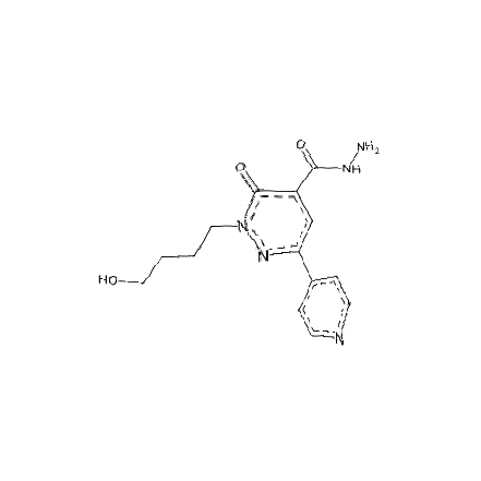 NNC(=O)c1cc(-c2ccncc2)nn(CCCCO)c1=O